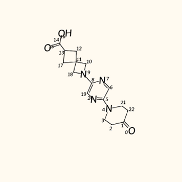 O=C1CCN(c2cnc(N3CC4(CC(C(=O)O)C4)C3)cn2)CC1